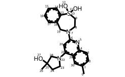 Cc1ccc2nc(N3CCS(O)(O)c4ccccc4C3)cc(N3CCC(C)(O)C3)c2c1